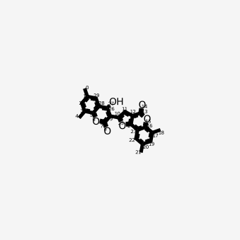 Cc1cc(C)c2oc(=O)c(-c3cc4c(=O)oc5c(C)cc(C)cc5c4o3)c(O)c2c1